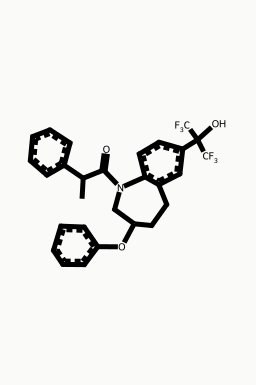 CC(C(=O)N1CC(Oc2ccccc2)CCc2cc(C(O)(C(F)(F)F)C(F)(F)F)ccc21)c1ccccc1